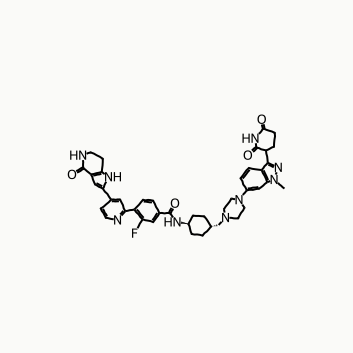 Cn1nc(C2CCC(=O)NC2=O)c2ccc(N3CCN(C[C@H]4CC[C@H](NC(=O)c5ccc(-c6cc(-c7cc8c([nH]7)CCNC8=O)ccn6)c(F)c5)CC4)CC3)cc21